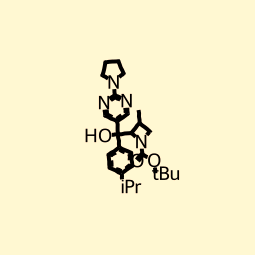 CC(C)c1ccc(C(O)(c2cnc(N3CCCC3)nc2)C2C(C)CN2C(=O)OC(C)(C)C)cc1